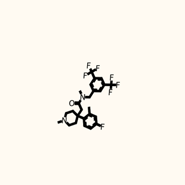 Cc1cc(F)ccc1C1(CC(=O)N(C)Cc2cc(C(F)(F)F)cc(C(F)(F)F)c2)CCN(C)CC1